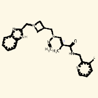 C=NN(/C=C(\C)C(=O)NCc1ncccc1F)CC1CN(Cc2nc3ccccc3[nH]2)C1